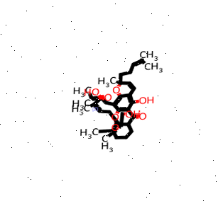 CC(C)=CCC[C@]1(C)C=Cc2c(O)c3c(c(CC=C(C)C)c2O1)OC12C(CCCC1C(C)(C)OC2(CO)C/C=C(/C)C(=O)O)C3=O